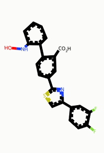 O=C(O)c1cc(-c2nc(-c3ccc(F)c(F)c3)cs2)ccc1-c1ccccc1NO